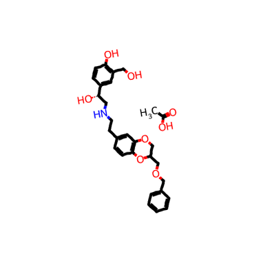 CC(=O)O.OCc1cc([C@@H](O)CNCCc2ccc3c(c2)OCC(COCc2ccccc2)O3)ccc1O